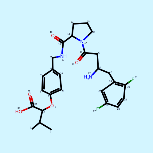 CC(C)C(Oc1ccc(CNC(=O)C2CCCN2C(=O)CC(N)Cc2cc(F)ccc2F)cc1)C(=O)O